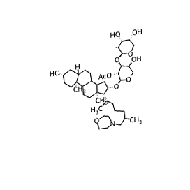 CC(=O)O[C@H]1[C@H](O[C@H]2CC3C4CC[C@H]5C[C@@H](O)CC[C@]5(C)C4CC[C@]3(C)[C@H]2[C@H](C)CCC[C@@H](C)CN2CCOCC2)OC[C@H](O)[C@@H]1O[C@H]1[CH][C@H](O)[C@H](O)CO1